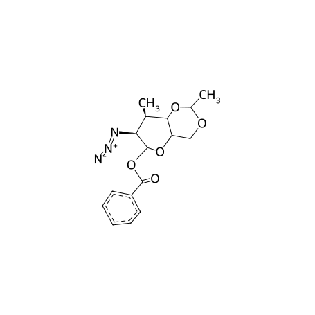 CC1OCC2OC(OC(=O)c3ccccc3)[C@@H](N=[N+]=[N-])[C@@H](C)C2O1